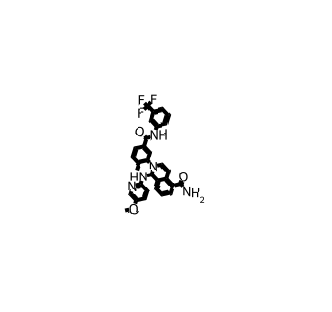 COc1ccc(NC2c3cccc(C(N)=O)c3C=CN2c2cc(C(=O)Nc3cccc(C(F)(F)F)c3)ccc2C)nc1